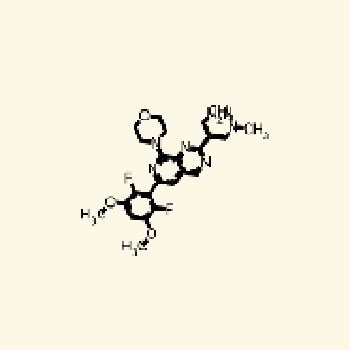 CC/C(=C\N(C)N)c1ncc2cc(-c3c(F)c(OC)cc(OC)c3F)nc(N3CCOCC3)c2n1